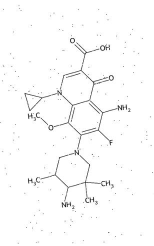 COc1c(N2CC(C)C(N)C(C)(C)C2)c(F)c(N)c2c(=O)c(C(=O)O)cn(C3CC3)c12